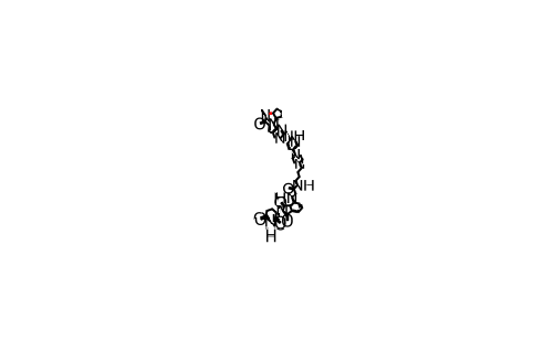 CN(C)C(=O)c1cc2cnc(Nc3ccc(N4CCN(CCCCNC(=O)CNc5cccc6c5C(=O)N(C5CCC(=O)NC5=O)C6=O)CC4)cn3)nc2n1C1CCCC1